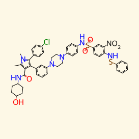 Cc1c(C(=O)NC2CCC(O)CC2)c(-c2cccc(N3CCN(c4ccc(NS(=O)(=O)c5ccc(NSc6ccccc6)c([N+](=O)[O-])c5)cc4)CC3)c2)c(-c2ccc(Cl)cc2)n1C